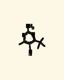 C#Cc1c(C)nc(N)nc1C(C)(C)C